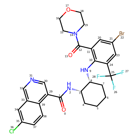 O=C(N[C@H]1CCCC[C@H]1Nc1c(C(=O)N2CCOCC2)cc(Br)cc1C(F)(F)F)c1cncc2cc(Cl)ccc12